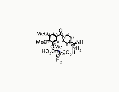 COc1cc(C(=O)N2CCN(C(=N)N)CC2)cc(OC)c1OC.O.O=C(O)/C=C/C(=O)O